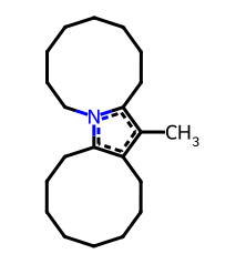 Cc1c2c(n3c1CCCCCCCC3)CCCCCCCC2